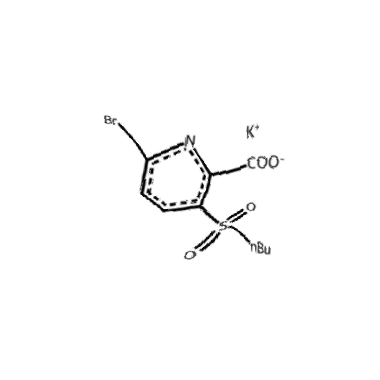 CCCCS(=O)(=O)c1ccc(Br)nc1C(=O)[O-].[K+]